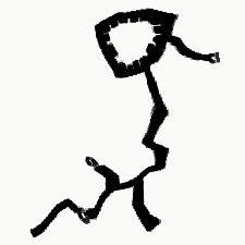 C=C(CCCc1ccccc1Cl)C(=O)OCC